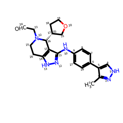 Cc1n[nH]cc1-c1ccc(Nc2n[nH]c3c2C([C@@H]2CCOC2)N(CC=O)CC3)cc1